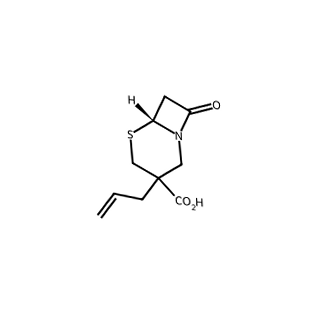 C=CCC1(C(=O)O)CS[C@@H]2CC(=O)N2C1